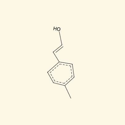 Cc1ccc(C=CO)cc1